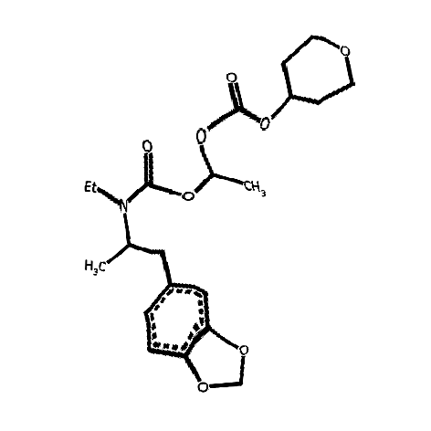 CCN(C(=O)OC(C)OC(=O)OC1CCOCC1)C(C)Cc1ccc2c(c1)OCO2